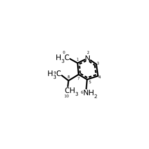 Cc1nccc(N)c1C(C)C